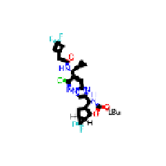 CC(C)(C)OC(=O)N[C@H](c1cn2nc(Cl)c([C@H](NC(=O)CC3CC(F)(F)C3)C3CC3)cc2n1)C1C[C@@H]2[C@H](C1)C2(F)F